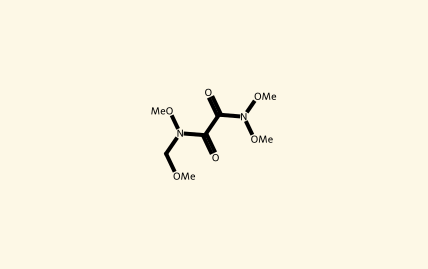 COCN(OC)C(=O)C(=O)N(OC)OC